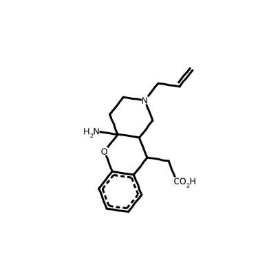 C=CCN1CCC2(N)Oc3ccccc3C(CC(=O)O)C2C1